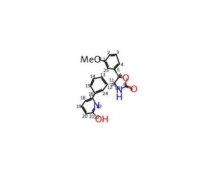 COc1cccc([C@H]2OC(=O)N[C@@H]2c2cccc(-c3cccc(O)n3)c2)c1